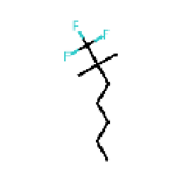 CCCCCC(C)(C)C(F)(F)F